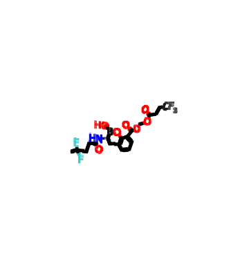 CC(F)(F)CCC(=O)N[C@H]1Cc2cccc(C(=O)OCOC(=O)CCC(F)(F)F)c2OB1O